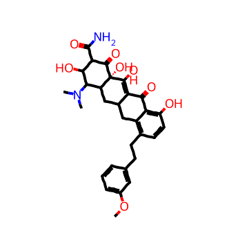 COc1cccc(CCc2ccc(O)c3c2CC2CC4C(N(C)C)C(O)C(C(N)=O)C(=O)[C@@]4(O)C(O)=C2C3=O)c1